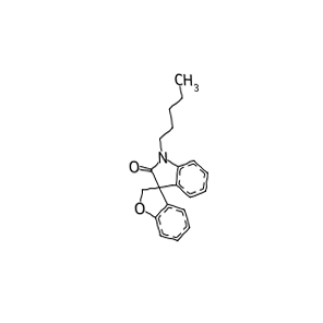 CCCCCN1C(=O)C2(COc3ccccc32)c2ccccc21